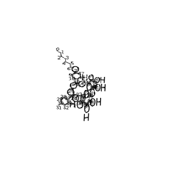 CCCCCCCOc1ccc(C(=O)OC[C@H]2O[C@H](O[C@H]3O[C@H](COC(=O)c4ccc(C)cc4)[C@@H](O)[C@H](O)[C@H]3O)[C@H](O)[C@@H](O)[C@@H]2O)cc1